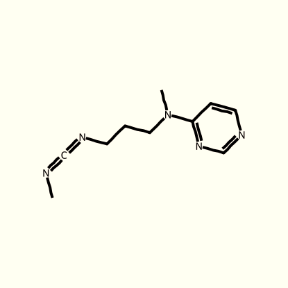 CN=C=NCCCN(C)c1ccncn1